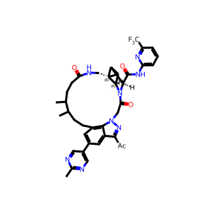 CC(=O)c1nn2c3c(cc(-c4cnc(C)nc4)cc13)CCC(C)C(C)CCC(=O)NC[C@]13C4C1[C@H]3N(C(=O)C2)[C@@H]4C(=O)Nc1cccc(C(F)(F)F)n1